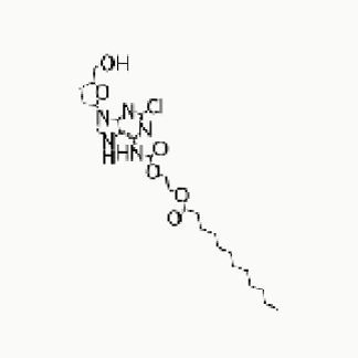 CCCCCCCCCCCC(=O)OCCOC(=O)Nc1nc(Cl)nc2c1NCN2C1CCC(CO)O1